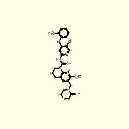 COc1ccccc1Nc1cc(NC(=O)N2CCCc3cc(CN4CCOCC4=O)c(C=O)nc32)ncc1C#N